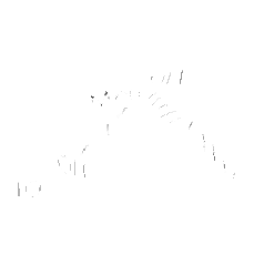 C=C.C=C.C=C.C=C.C=C.C=C.C=CC.C=CC.C=CC.C=CC.C=CC.C=CC.C=CC.COCCO.OCCO